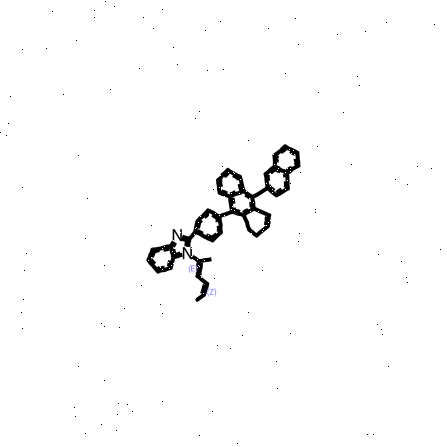 C/C=C\C=C(/C)n1c(-c2ccc(-c3c4c(c(-c5ccc6ccccc6c5)c5ccccc35)C=CCC4)cc2)nc2ccccc21